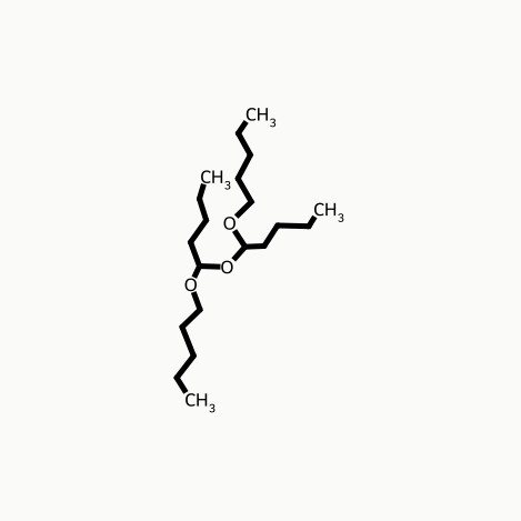 CCCCCOC(CCCC)OC(CCCC)OCCCCC